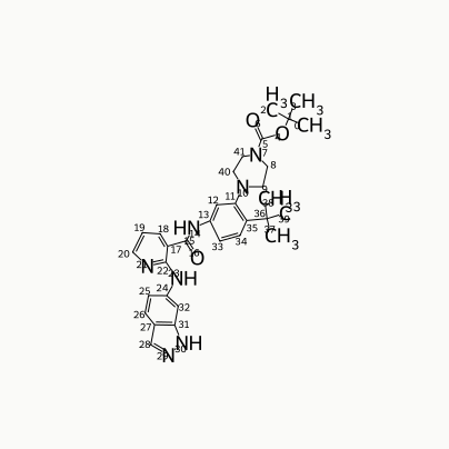 CC(C)(C)OC(=O)N1CCN(c2cc(NC(=O)c3cccnc3Nc3ccc4cn[nH]c4c3)ccc2C(C)(C)C)CC1